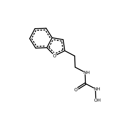 O=C(NO)NCCc1cc2ccccc2o1